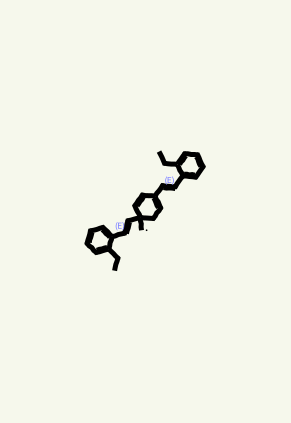 [CH2]C1(/C=C/c2ccccc2CC)C=CC(/C=C/c2ccccc2CC)=CC1